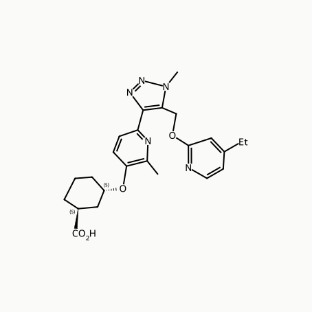 CCc1ccnc(OCc2c(-c3ccc(O[C@H]4CCC[C@H](C(=O)O)C4)c(C)n3)nnn2C)c1